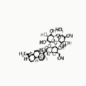 C=C1C[C@]23CC[C@@H]4[C@](C)(CCC[C@]4(C)C(=O)O[C@@H]4O[C@H](CO)[C@@H](O)[C@H](O[C@@H]5O[C@H](CO)[C@@H](O)[C@H](O)[C@H]5O)[C@H]4O[C@@H]4O[C@H](CO)[C@@H](O)[C@H](O)[C@H]4O)[C@H]2CC[C@H]1C3